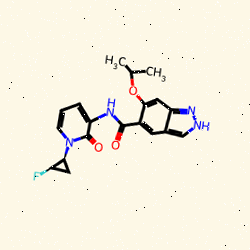 CC(C)Oc1cc2n[nH]cc2cc1C(=O)Nc1cccn([C@H]2C[C@H]2F)c1=O